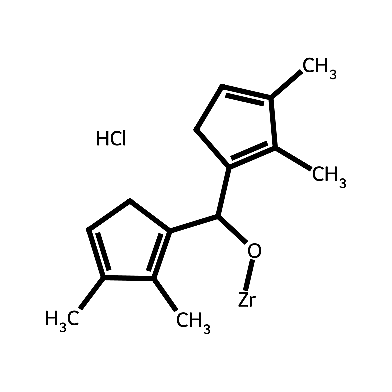 CC1=CCC(C([O][Zr])C2=C(C)C(C)=CC2)=C1C.Cl